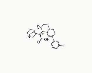 O=C(O)N(C1CN2CCC1CC2)[C@@H]1c2cc(-c3cccc(F)c3)ccc2CCC12CC2